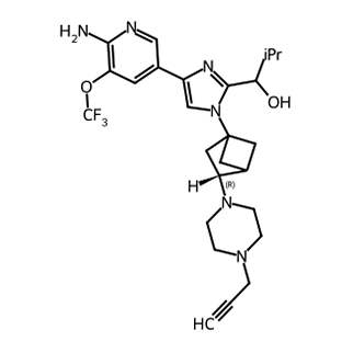 C#CCN1CCN([C@@H]2CC3(n4cc(-c5cnc(N)c(OC(F)(F)F)c5)nc4C(O)C(C)C)CC2C3)CC1